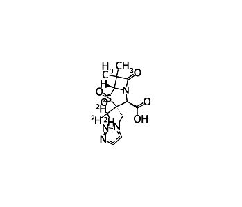 [2H]C([2H])([2H])[C@]1(Cn2ccnn2)[C@H](C(=O)O)N2C(=O)C(C)(C)[C@H]2S1(=O)=O